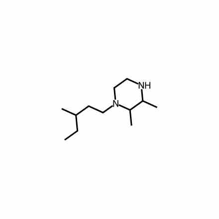 CCC(C)CCN1CCNC(C)C1C